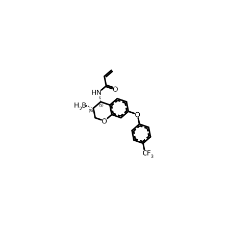 B[C@H]1COc2cc(Oc3ccc(C(F)(F)F)cc3)ccc2[C@H]1NC(=O)C=C